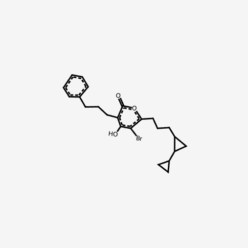 O=c1oc(CCCC2CC2C2CC2)c(Br)c(O)c1CCCc1ccccc1